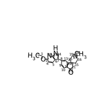 CCOc1ccc2c(-c3ccc4c(c3)C3(CCN(C)CC3)CC4=O)c[nH]c2n1